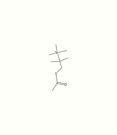 CC(=O)SCC(C)(C)[Si](C)(C)C